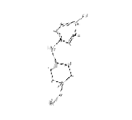 C[C](C)CN1CCC(Nc2ccc(F)cc2)CC1